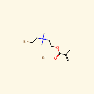 C=C(C)C(=O)OCC[N+](C)(C)CCBr.[Br-]